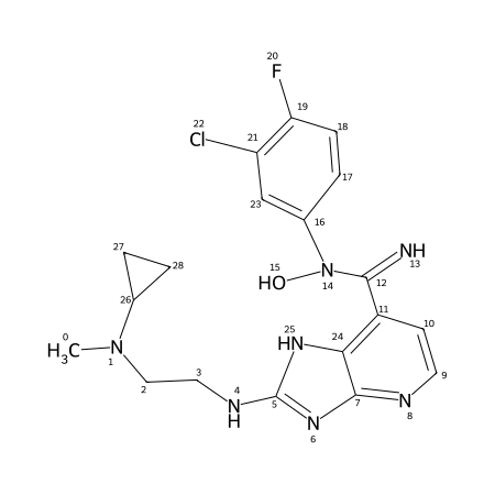 CN(CCNc1nc2nccc(C(=N)N(O)c3ccc(F)c(Cl)c3)c2[nH]1)C1CC1